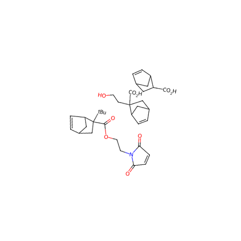 CC(C)(C)C1(C(=O)OCCN2C(=O)C=CC2=O)CC2C=CC1C2.O=C(O)C1(CCO)CC2C=CC1C2.O=C(O)C1CC2C=CC1C2